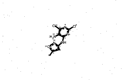 Cc1cc(Nc2nc(Cl)nc(Cl)c2N)no1